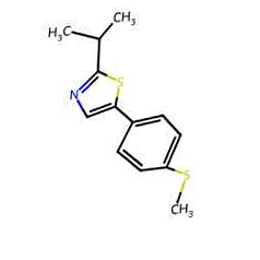 CSc1ccc(-c2cnc(C(C)C)s2)cc1